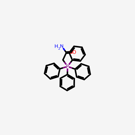 NC(=O)CP(c1ccccc1)(c1ccccc1)(c1ccccc1)c1ccccc1